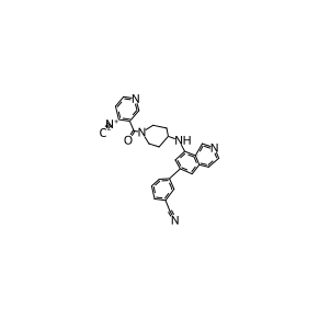 [C-]#[N+]c1ccncc1C(=O)N1CCC(Nc2cc(-c3cccc(C#N)c3)cc3ccncc23)CC1